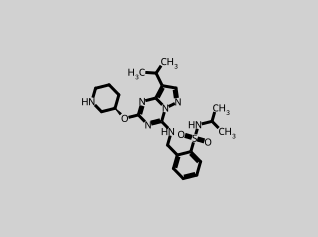 CC(C)NS(=O)(=O)c1ccccc1CNc1nc(O[C@@H]2CCCNC2)nc2c(C(C)C)cnn12